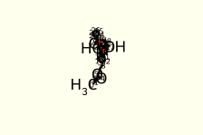 CC=CC(=O)OCCCc1ccc(N=Nc2c(O)ccc(C(=O)c3ccccc3)c2O)cc1